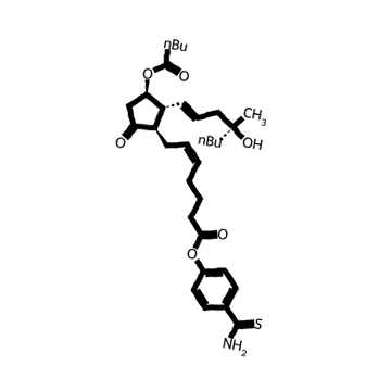 CCCCC(=O)O[C@@H]1CC(=O)[C@H](C/C=C\CCCC(=O)Oc2ccc(C(N)=S)cc2)[C@H]1/C=C/C[C@@](C)(O)CCCC